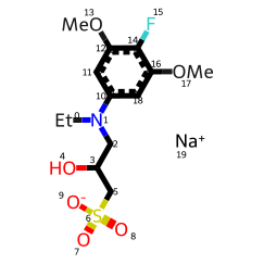 CCN(CC(O)CS(=O)(=O)[O-])c1cc(OC)c(F)c(OC)c1.[Na+]